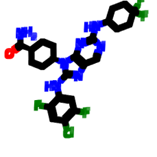 NC(=O)[C@H]1CC[C@@H](n2c(Nc3cc(F)c(Cl)cc3F)nc3cnc(NC4CCC(F)(F)CC4)nc32)CC1